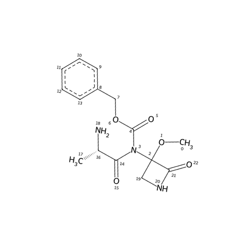 COC1(N(C(=O)OCc2ccccc2)C(=O)[C@H](C)N)CNC1=O